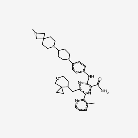 Cc1cccnc1-c1nc(C(N)=O)c(Nc2ccc(N3CCC(N4CCC5(CC4)CN(C)C5)CC3)cc2)nc1CC1CCOCC12CC2